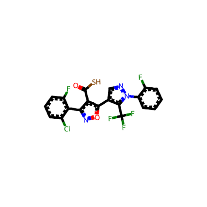 O=C(S)c1c(-c2c(F)cccc2Cl)noc1-c1cnn(-c2ccccc2F)c1C(F)(F)F